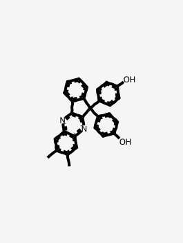 Cc1cc2nc3c(nc2cc1C)C(c1ccc(O)cc1)(c1ccc(O)cc1)c1ccccc1-3